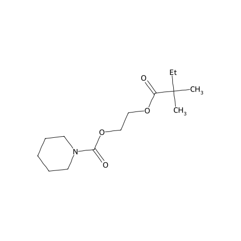 CCC(C)(C)C(=O)OCCOC(=O)N1CCCCC1